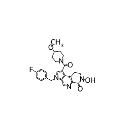 COC1CCN(C(=O)c2cn(Cc3ccc(F)cc3)c3cnc4c(c23)CCN(O)C4=O)CC1